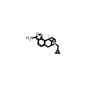 C[C@H]1C2Cc3ccc4c(N)onc4c3[C@@]1(C)CCN2CC1CC1